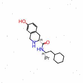 CC(C)[C@@H](CC1CCCCC1)NC(=O)[C@H]1Cc2ccc(O)cc2CN1